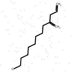 C=CCC(=C)CCCCCCCCCl